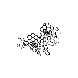 Cc1cc(C)c(-c2ccc3ccc4cc5c(c6ccc2c3c46)N(c2cc(C(C)(C)C)cc(C(C)(C)C)c2)c2cc(-c3ccc4c(c3)oc3ccccc34)cc3c2B5c2cc4ccc5ccc(-c6c(C)cc(C)cc6C)c6ccc(c2N3c2cc(C(C)(C)C)cc(C(C)(C)C)c2)c4c56)c(C)c1